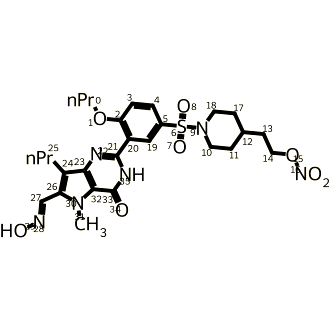 CCCOc1ccc(S(=O)(=O)N2CCC(CCO[N+](=O)[O-])CC2)cc1-c1nc2c(CCC)c(C=NO)n(C)c2c(=O)[nH]1